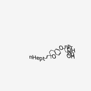 CCCCCCC/C=C/C1(C)CCc2cc(OC(CCC)CP(=O)(O)O)ccc2O1